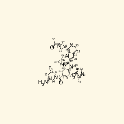 COc1cc(C(=O)N2CC(F)C[C@@H](N)C2)cc2nc(-c3cc4cccc(C5CN(C(C)=O)C5)c4n3CC3CC3)n(Cc3cnn(C)c3)c12